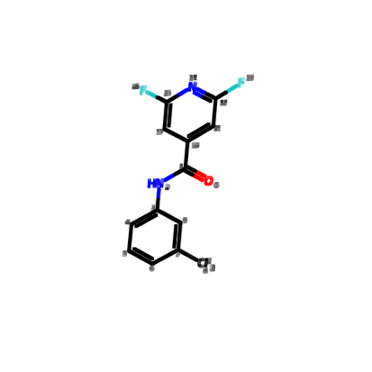 O=C(Nc1cccc(C(F)(F)F)c1)c1cc(F)nc(F)c1